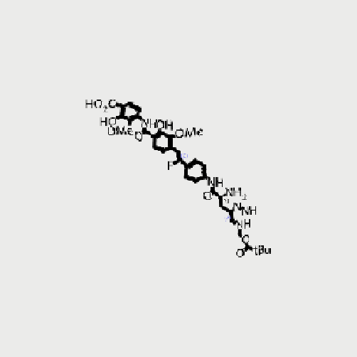 COc1c(/C=C(\F)c2ccc(NC(=O)[C@@H](N)C/C(=C/NCOC(=O)C(C)(C)C)N=N)cc2)ccc(C(=O)Nc2ccc(C(=O)O)c(O)c2OC)c1O